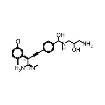 C=c1ccc(Cl)c/c1=C(C#Cc1ccc(C(O)NCC(O)CN)cc1)/C(N)=N\C